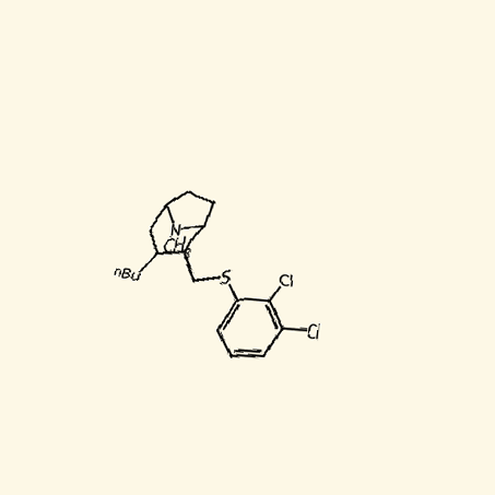 CCCCC1CC2CCC(C1CSc1cccc(Cl)c1Cl)N2C